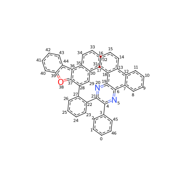 c1ccc(-c2nc3c4ccccc4c4ccccc4c3nc2-c2ccccc2-c2cc3ccccc3c3c2oc2ccccc23)cc1